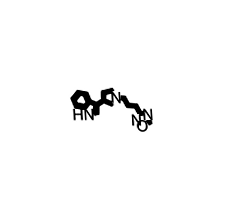 c1ccc2c(C3CCN(CCCc4ncon4)C3)c[nH]c2c1